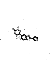 CC1CC(=O)NN=C1c1ccc2oc(-c3ccsc3)nc2c1